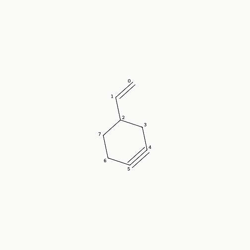 C=CC1CC#CCC1